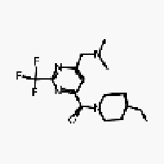 CCC1CCN(C(=O)c2cc(CN(C)C)nc(C(F)(F)F)n2)CC1